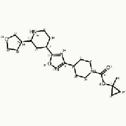 CC1(OC(=O)N2CCC(c3noc(C4CCNC([C@H]5CCOC5)C4)n3)CC2)CC1